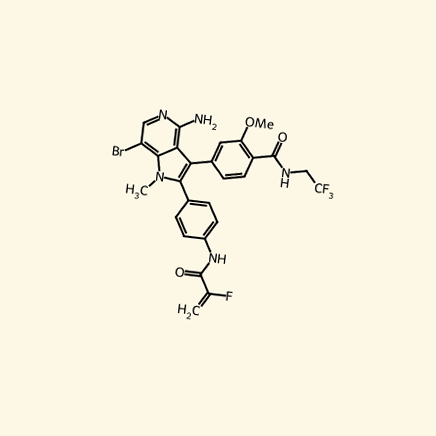 C=C(F)C(=O)Nc1ccc(-c2c(-c3ccc(C(=O)NCC(F)(F)F)c(OC)c3)c3c(N)ncc(Br)c3n2C)cc1